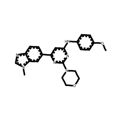 COc1ccc(Nc2cc(-c3ccc4ncn(C)c4c3)nc(N3CCOCC3)n2)cc1